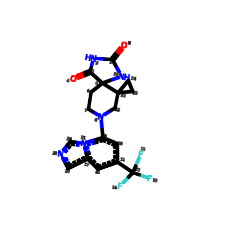 O=C1NC(=O)C2(CCN(c3cc(C(F)(F)F)cc4cncn34)CC23CC3)N1